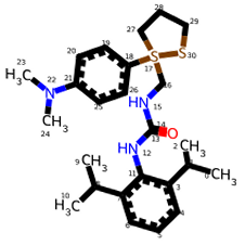 CC(C)c1cccc(C(C)C)c1NC(=O)NCS1(c2ccc(N(C)C)cc2)CCCS1